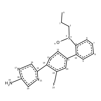 CCC[S+]([O-])c1ccccc1-c1ccc(-c2cnc(N)cn2)c(F)c1